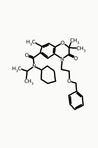 Cc1cc2c(cc1C(=O)N(C(C)C)C1CCCCC1)N(CCOCc1ccccc1)C(=O)C(C)(C)O2